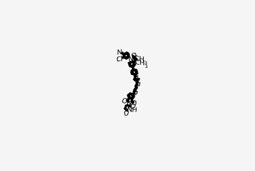 CC1(C)C(=O)N(c2ccc(C#N)c(Cl)c2)c2ccc(-c3ccc(N4CC(OCCCOc5ccc6c(c5)C(=O)N(C5CCC(=O)NC5=O)C6=O)C4)cc3)cc21